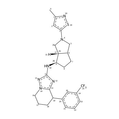 Cc1cc(N2CC3CC[C@@H](Nc4nc5n(n4)CCCC5c4cccc(C(F)(F)F)c4)[C@@H]3C2)sn1